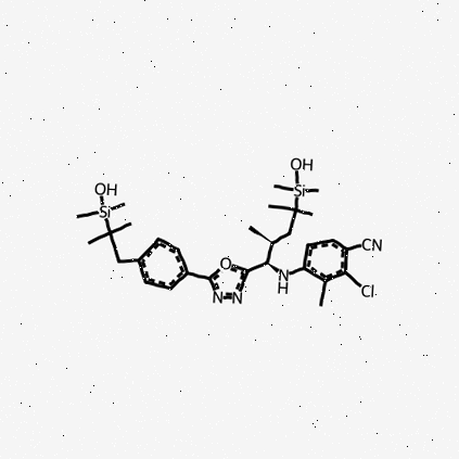 Cc1c(N[C@@H](c2nnc(-c3ccc(CC(C)(C)[Si](C)(C)O)cc3)o2)[C@@H](C)CC(C)(C)[Si](C)(C)O)ccc(C#N)c1Cl